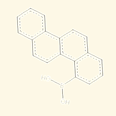 OB(O)c1cccc2ccc3c4ccccc4ccc3c12